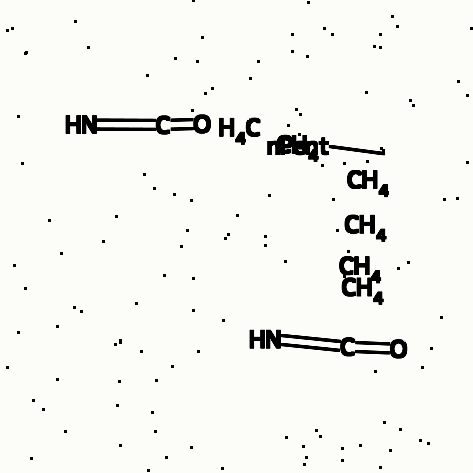 C.C.C.C.C.C.CCCCCC.N=C=O.N=C=O